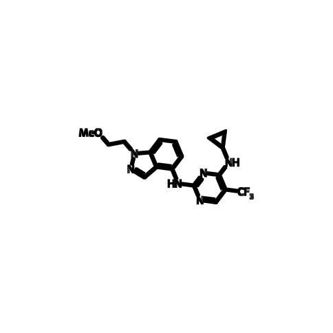 COCCn1ncc2c(Nc3ncc(C(F)(F)F)c(NC4CC4)n3)cccc21